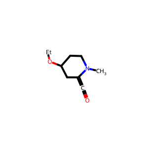 CCOC1CCN(C)C(=C=O)C1